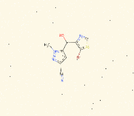 Cn1nc(C#N)cc1C(O)c1ncsc1Br